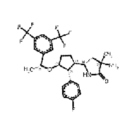 C[C@@H](O[C@H]1CC[C@@H]([C@@H]2C[C@](C)(N)C(=O)N2)[C@@H]1c1ccc(F)cc1)c1cc(C(F)(F)F)cc(C(F)(F)F)c1